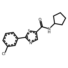 O=C(NC1CCCC1)c1cnc(-c2cccc(Cl)c2)s1